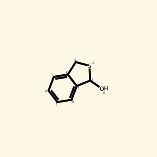 OC1SCc2ccccc21